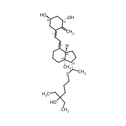 C=C1/C(=C\C=C2/CCC[C@]3(C)[C@@H](C(C)SCCCC(O)(CC)CC)CC[C@@H]23)C[C@@H](O)C[C@@H]1O